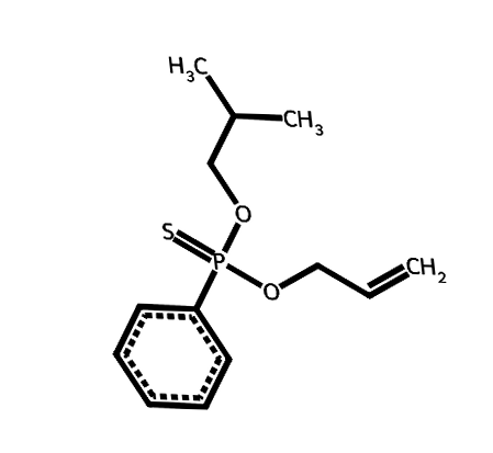 C=CCOP(=S)(OCC(C)C)c1ccccc1